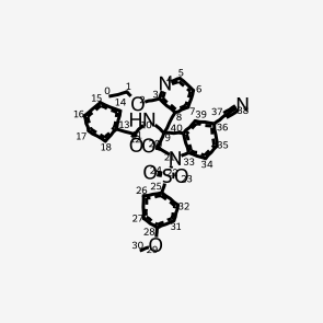 CCOc1ncccc1C1(NC(=O)c2ccccc2)C(=O)N(S(=O)(=O)c2ccc(OC)cc2)c2ccc(C#N)cc21